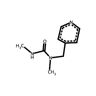 CNC(=O)N(C)Cc1ccncc1